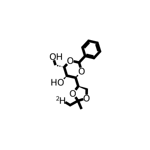 [2H]CC1(C)OC[C@H]([C@H]2OC(c3ccccc3)O[C@@H](CO)[C@H]2O)O1